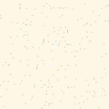 c1ccc(C(CCCC(=NO[Si](c2ccccc2)(c2ccccc2)c2ccccc2)c2ccccc2)=NO[Si](c2ccccc2)(c2ccccc2)c2ccccc2)cc1